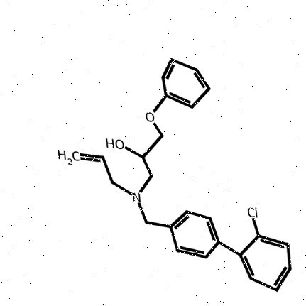 C=CCN(Cc1ccc(-c2ccccc2Cl)cc1)CC(O)COc1ccccc1